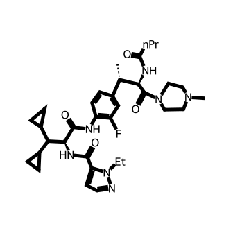 CCCC(=O)N[C@@H](C(=O)N1CCN(C)CC1)[C@@H](C)c1ccc(NC(=O)[C@@H](NC(=O)c2ccnn2CC)C(C2CC2)C2CC2)c(F)c1